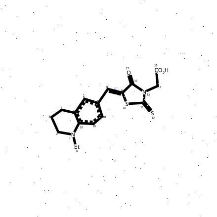 CCN1CCCc2cc(/C=C3\SC(=S)N(CC(=O)O)C3=O)ccc21